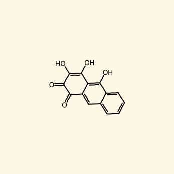 O=C1C(=O)c2cc3ccccc3c(O)c2C(O)=C1O